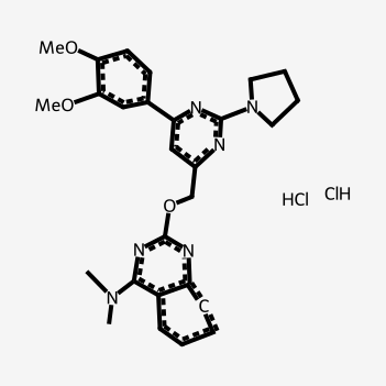 COc1ccc(-c2cc(COc3nc(N(C)C)c4ccccc4n3)nc(N3CCCC3)n2)cc1OC.Cl.Cl